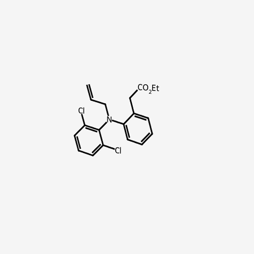 C=CCN(c1ccccc1CC(=O)OCC)c1c(Cl)cccc1Cl